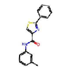 Cc1cccc(NC(=O)c2csc(-c3ccccc3)n2)c1